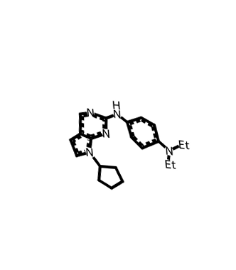 CCN(CC)c1ccc(Nc2ncc3ccn(C4CCCC4)c3n2)cc1